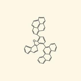 c1ccc2c(c1)ccc1c3ccccc3c(-c3ccc(-c4ccc5ccc6cccc7ccc4c5c67)c4oc5c6ccccc6ccc5c34)cc21